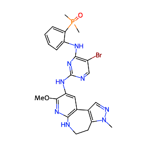 COc1nc2c(cc1Nc1ncc(Br)c(Nc3ccccc3P(C)(C)=O)n1)-c1cnn(C)c1CCN2